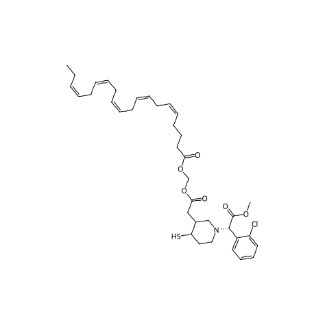 CC/C=C\C/C=C\C/C=C\C/C=C\C/C=C\CCCC(=O)OCOC(=O)CC1CN([C@H](C(=O)OC)c2ccccc2Cl)CCC1S